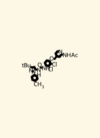 CC(=O)Nc1cc(COc2ccc(NC(=O)Nc3cc(C(C)(C)C)nn3-c3ccc(C)cc3)c(Cl)c2Cl)ccn1